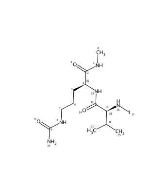 CNC(=O)[C@H](CCCNC(N)=O)NC(=O)[C@@H](NI)C(C)C